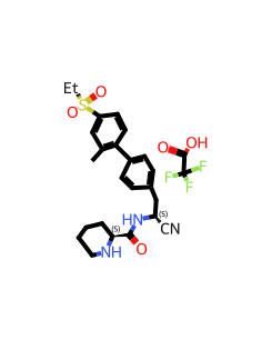 CCS(=O)(=O)c1ccc(-c2ccc(C[C@@H](C#N)NC(=O)[C@@H]3CCCCN3)cc2)c(C)c1.O=C(O)C(F)(F)F